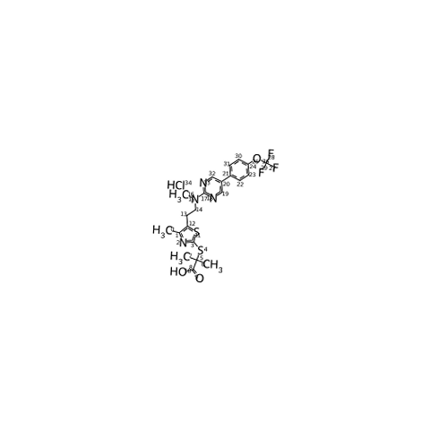 Cc1nc(SC(C)(C)C(=O)O)sc1CCN(C)c1ncc(-c2ccc(OC(F)(F)F)cc2)cn1.Cl